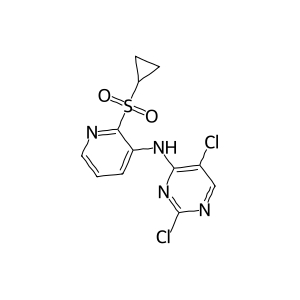 O=S(=O)(c1ncccc1Nc1nc(Cl)ncc1Cl)C1CC1